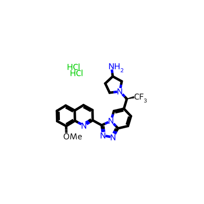 COc1cccc2ccc(-c3nnc4ccc([C@@H](N5CCC(N)C5)C(F)(F)F)cn34)nc12.Cl.Cl